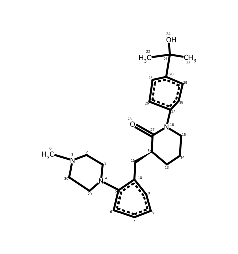 CN1CCN(c2ccccc2C[C@@H]2CCCN(c3ccc(C(C)(C)O)cc3)C2=O)CC1